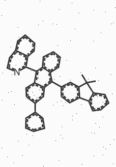 CC1(C)c2ccccc2-c2ccc(-c3c4ccccc4c(-c4nccc5ccccc45)c4ccc(-c5ccccc5)cc34)cc21